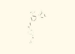 CC(C)(C)OC(=O)N1CCN(C(=O)C=Cc2ccc(Sc3ccc(Cl)cc3Cl)c([N+](=O)[O-])c2)CC1